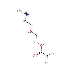 C=C(C)C(=O)OCCOCCNC(C)C